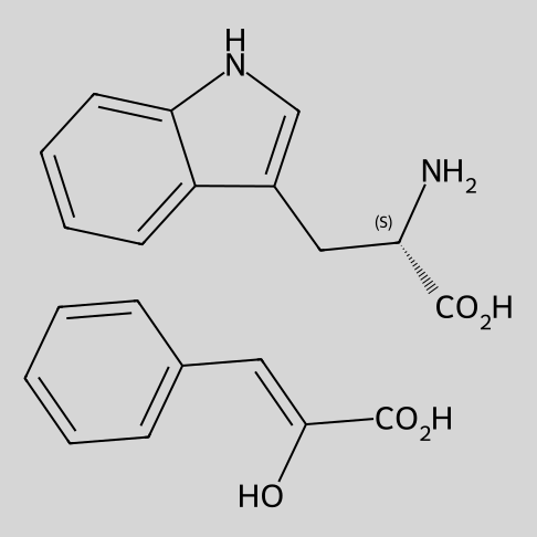 N[C@@H](Cc1c[nH]c2ccccc12)C(=O)O.O=C(O)C(O)=Cc1ccccc1